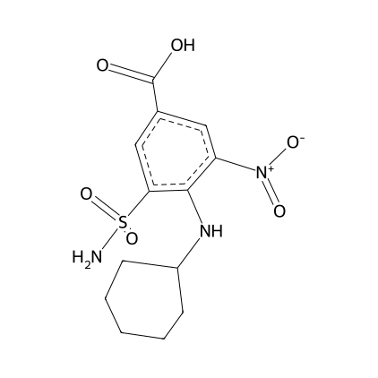 NS(=O)(=O)c1cc(C(=O)O)cc([N+](=O)[O-])c1NC1CCCCC1